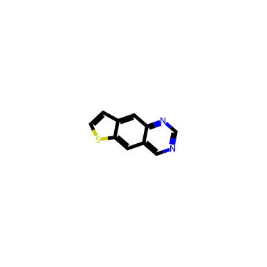 c1ncc2cc3sccc3cc2n1